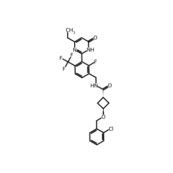 CCc1cc(=O)[nH]c(-c2c(C(F)(F)F)ccc(CNC(=O)[C@H]3C[C@H](OCc4ccccc4Cl)C3)c2F)n1